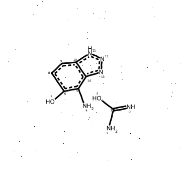 N=C(N)O.Nc1c(O)ccc2[nH]nnc12